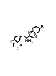 NC(Cc1ccc(F)c(C(F)(F)F)c1)c1cnc2cc(Br)ccc2n1